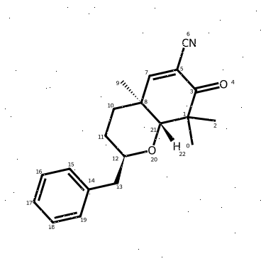 CC1(C)C(=O)C(C#N)=C[C@]2(C)CC[C@H](Cc3ccccc3)O[C@@H]12